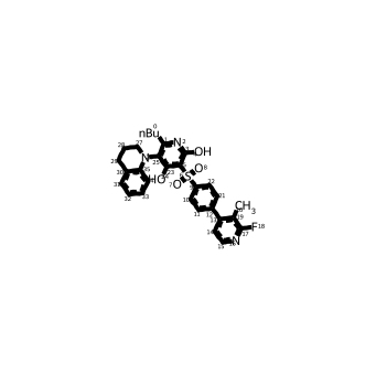 CCCCc1nc(O)c(S(=O)(=O)c2ccc(-c3ccnc(F)c3C)cc2)c(O)c1N1CCCc2ccccc21